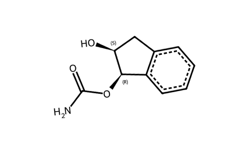 NC(=O)O[C@@H]1c2ccccc2C[C@@H]1O